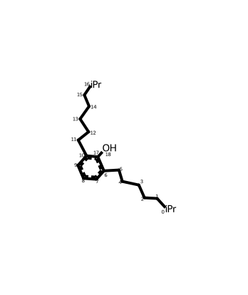 CC(C)CCCCCc1cccc(CCCCCC(C)C)c1O